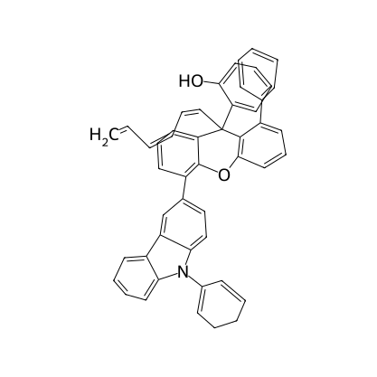 C=C/C=C\C=C/C1(c2ccccc2O)c2cccc(-c3ccc4c(c3)c3ccccc3n4C3=CCCC=C3)c2Oc2cccc(-c3ccccc3)c21